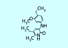 CCc1ccc(Nc2cc(CC)c(C)[nH]c2=O)cc1OC